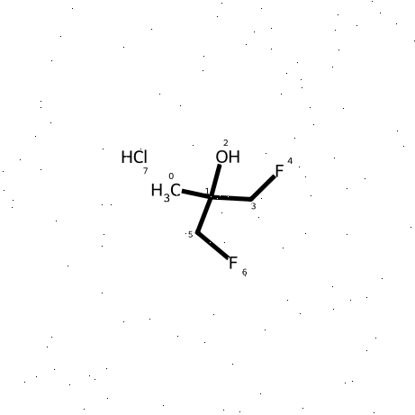 CC(O)(CF)CF.Cl